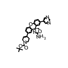 CC(C)(C)OC(=O)N1CC=C(c2ccc3c(c2)[C@]2(COC(N)=N2)c2cc(-c4cncnc4)ccc2O3)CC1